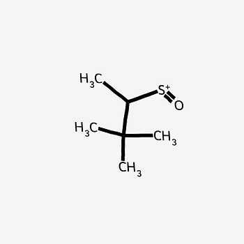 CC([S+]=O)C(C)(C)C